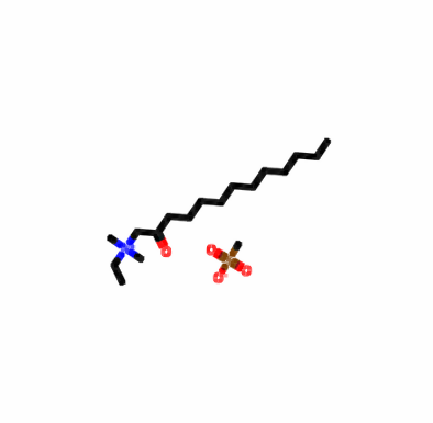 CCCCCCCCCCCC(=O)C[N+](C)(C)CC.CS(=O)(=O)[O-]